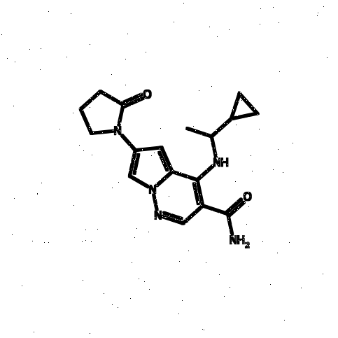 CC(Nc1c(C(N)=O)cnn2cc(N3CCCC3=O)cc12)C1CC1